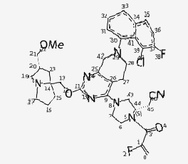 C=C(F)C(=O)N1CCN(c2nc(OCC34CCCN3CC(COC)C4)nc3c2CCN(c2cccc4ccc(F)c(Cl)c24)C3)C[C@@H]1CC#N